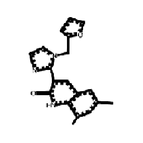 Cc1cc(C)c2[nH]c(=O)c(-c3nccn3Cc3ccco3)cc2c1